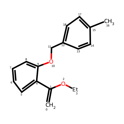 C=C(OCC)c1ccccc1OCc1ccc(C)cc1